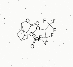 CCC(=O)OC1C2CC3C1OC(=O)C3(C(=O)OC(C(F)(F)F)C(F)(F)F)C2